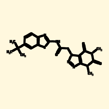 Cn1c(=O)c2c(nnn2CC(=O)Nc2nc3ccc(C(C)(C)C)cc3s2)n(C)c1=O